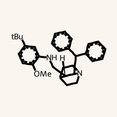 COc1ccc(C(C)(C)C)cc1NC[C@H]1C2CCN(CC2)C1C(c1ccccc1)c1ccccc1